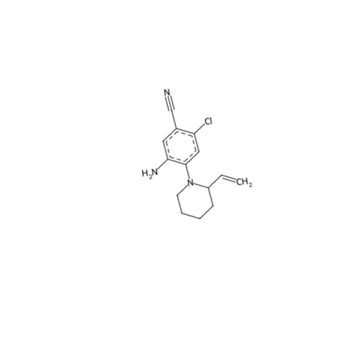 C=CC1CCCCN1c1cc(Cl)c(C#N)cc1N